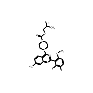 COc1ccc(F)c(F)c1-c1nc(N2CCN(C(=O)OCC(C)C)CC2)c2ccc(C)cc2n1